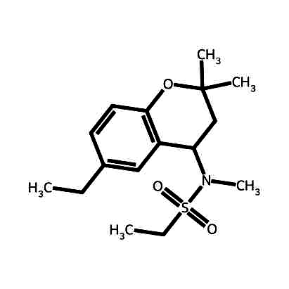 CCc1ccc2c(c1)C(N(C)S(=O)(=O)CC)CC(C)(C)O2